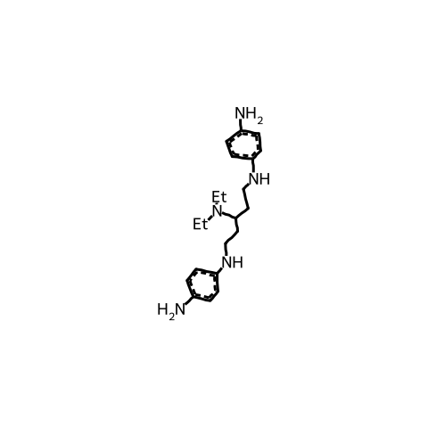 CCN(CC)C(CCNc1ccc(N)cc1)CCNc1ccc(N)cc1